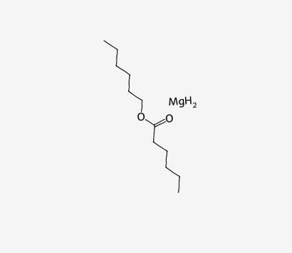 CCCCCCOC(=O)CCCCC.[MgH2]